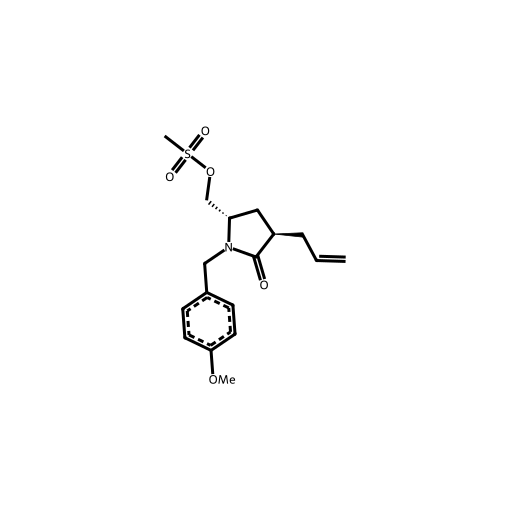 C=CC[C@@H]1C[C@@H](COS(C)(=O)=O)N(Cc2ccc(OC)cc2)C1=O